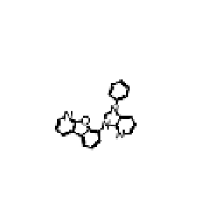 c1ccc(N2CN(c3cccc4c3oc3ncccc34)c3ncccc32)cc1